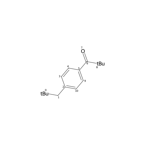 CC(C)(C)Cc1ccc(C(=O)C(C)(C)C)cc1